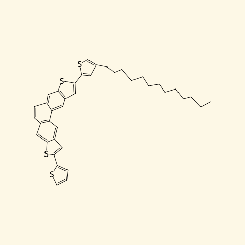 CCCCCCCCCCCCCc1csc(-c2cc3cc4c(ccc5cc6sc(-c7cccs7)cc6cc54)cc3s2)c1